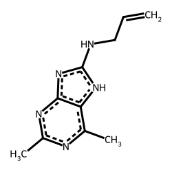 C=CCNc1nc2nc(C)nc(C)c2[nH]1